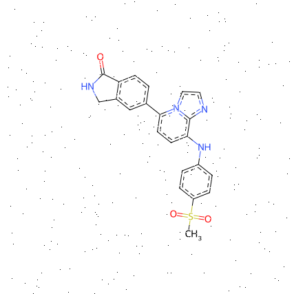 CS(=O)(=O)c1ccc(Nc2ccc(-c3ccc4c(c3)CNC4=O)n3ccnc23)cc1